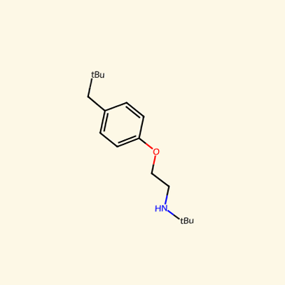 CC(C)(C)Cc1ccc(OCCNC(C)(C)C)cc1